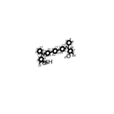 COc1cc(N(c2ccccc2)c2ccc(-c3ccc(-c4ccc(N(c5ccccc5)c5ccc(C)c(OS)c5)cc4)cc3)cc2)ccc1C